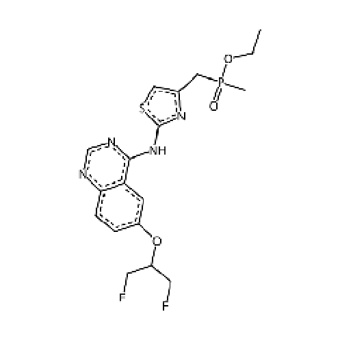 CCOP(C)(=O)Cc1csc(Nc2ncnc3ccc(OC(CF)CF)cc23)n1